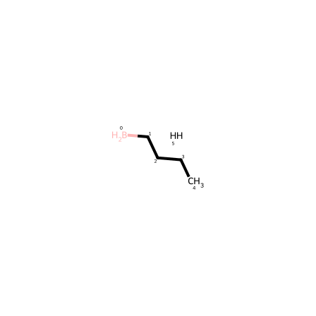 BCCCC.[HH]